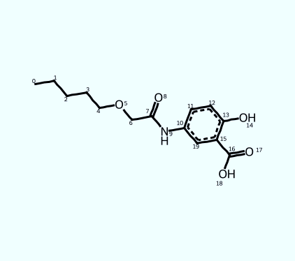 CCCCCOCC(=O)Nc1ccc(O)c(C(=O)O)c1